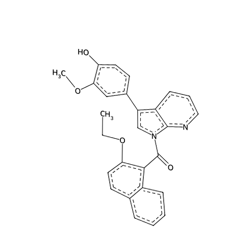 CCOc1ccc2ccccc2c1C(=O)n1cc(-c2ccc(O)c(OC)c2)c2cccnc21